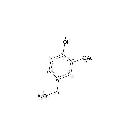 CC(=O)OCc1ccc(O)c(OC(C)=O)c1